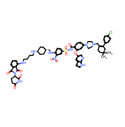 CC1(C)CCC(CN2CCN(c3ccc(C(=O)NS(=O)(=O)c4ccc(NC[C@H]5CC[C@@H](NCCCCNc6cccc7c6C(=O)N(C6CCC(=O)NC6=O)C7=O)CC5)c([N+](=O)[O-])c4)c(Oc4cnc5[nH]ccc5c4)c3)CC2)=C(c2ccc(Cl)cc2)C1